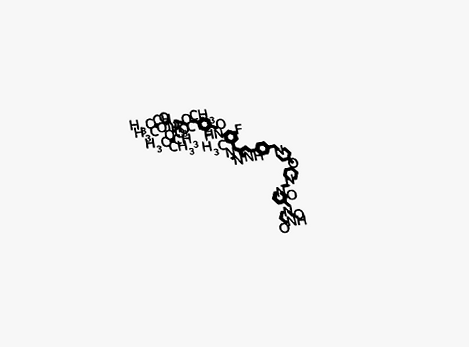 Cc1c(NC(=O)c2ccc(C(C)(C)OC(=O)CN(C(=O)OC(C)(C)C)C(=O)OC(C)(C)C)cc2F)cc(F)cc1-c1ncnc2[nH]c(-c3ccc(CN4CCC(OC5CCN(CCn6cccc(CN7CCC(=O)NC7=O)c6=O)CC5)CC4)cc3)cc12